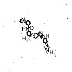 Cc1ccc(NC(=O)c2cccc(-n3cccn3)c2)cc1N1CCc2nc(Nc3ccc(N4CCN(C)CC4)cc3)ncc2C1